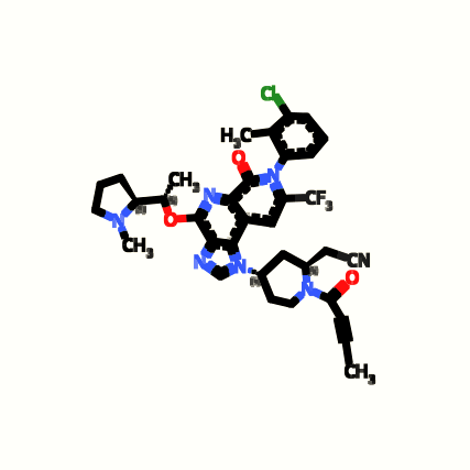 CC#CC(=O)N1CC[C@H](n2cnc3c(O[C@@H](C)[C@@H]4CCCN4C)nc4c(=O)n(-c5cccc(Cl)c5C)c(C(F)(F)F)cc4c32)C[C@H]1CC#N